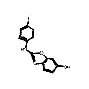 Oc1ccc2nc(Nc3ccc(Cl)cc3)oc2c1